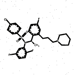 C[C@H](c1ccc(F)cc1CCCN1CCCCC1)N(c1cc(F)ccc1F)S(=O)(=O)c1ccc(Cl)cc1